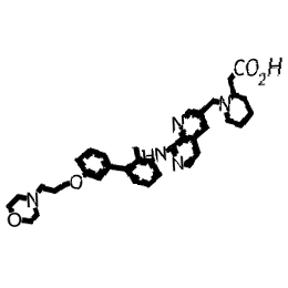 Cc1c(Nc2nccc3cc(CN4CCCCC4CC(=O)O)cnc23)cccc1-c1cccc(OCCCN2CCOCC2)c1